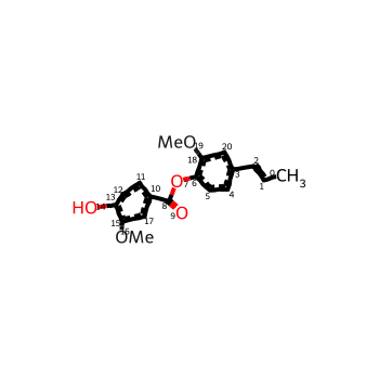 C/C=C/c1ccc(OC(=O)c2ccc(O)c(OC)c2)c(OC)c1